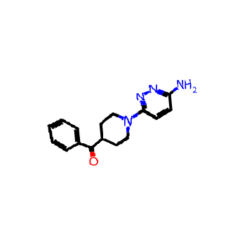 Nc1ccc(N2CCC(C(=O)c3ccccc3)CC2)nn1